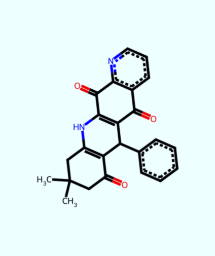 CC1(C)CC(=O)C2=C(C1)NC1=C(C(=O)c3cccnc3C1=O)C2c1ccccc1